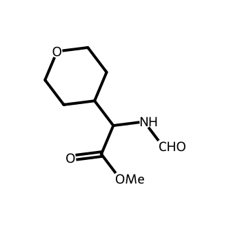 COC(=O)C(NC=O)C1CCOCC1